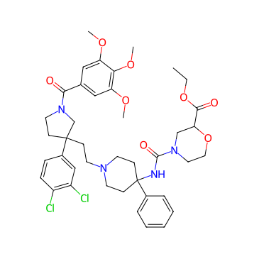 CCOC(=O)C1CN(C(=O)NC2(c3ccccc3)CCN(CCC3(c4ccc(Cl)c(Cl)c4)CCN(C(=O)c4cc(OC)c(OC)c(OC)c4)C3)CC2)CCO1